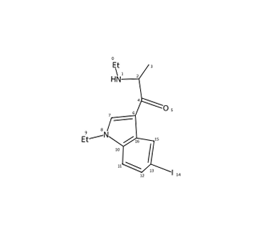 CCNC(C)C(=O)c1cn(CC)c2ccc(I)cc12